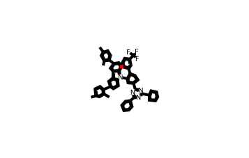 Cc1ccc(-c2ccc3c(c2)c2cc(-c4ccc(C)cc4C)ccc2n3-c2cc(-c3nc(-c4ccccc4)nc(-c4ccccc4)n3)ccc2-c2cccc(C(F)(F)F)c2)c(C)c1